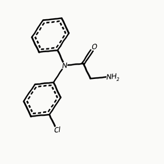 NCC(=O)N(c1ccccc1)c1cccc(Cl)c1